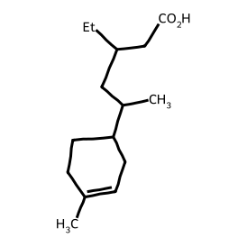 CCC(CC(=O)O)CC(C)C1CC=C(C)CC1